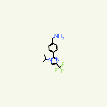 CC(C)n1cc(C(F)(F)F)nc1-c1ccc(CN)cc1